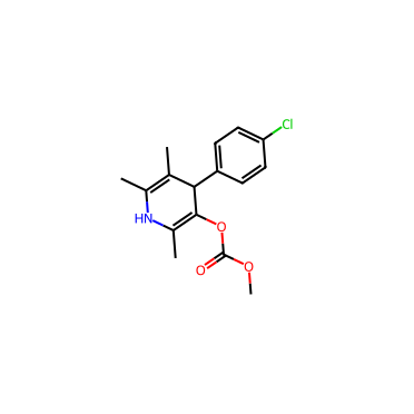 COC(=O)OC1=C(C)NC(C)=C(C)C1c1ccc(Cl)cc1